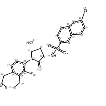 Cl.O=C1[C@@H](NS(=O)(=O)c2ccc3cc(Cl)ccc3c2)CCN1c1ccc2c(c1F)CCCNC2